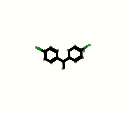 CC(c1ccc(F)cc1)C1C=CC(F)=CC1